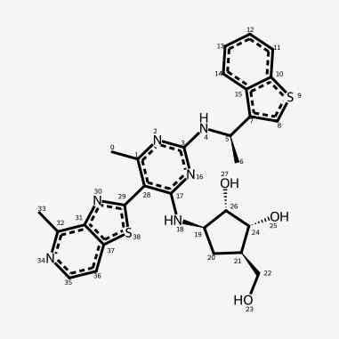 Cc1nc(N[C@H](C)c2csc3ccccc23)nc(N[C@@H]2C[C@H](CO)[C@@H](O)[C@H]2O)c1-c1nc2c(C)nccc2s1